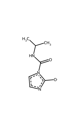 CC(C)NC(=O)n1ccnc1[O]